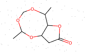 CC1OCOC(C)C2OC(=O)CC2O1